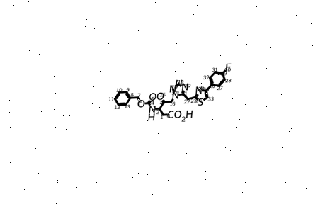 O=C(O)CC(NC(=O)OCc1ccccc1)C(=O)Cn1nnnc1Cc1nc(-c2ccc(F)cc2)cs1